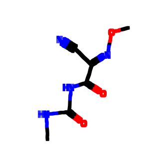 CNC(=O)NC(=O)/C(C#N)=N/OC